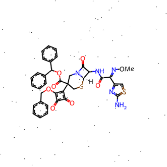 CON=C(C(=O)NC1C(=O)N2CC(C(=O)OC(c3ccccc3)c3ccccc3)(c3c(OCc4ccccc4)c(=O)c3=O)CS[C@H]12)c1csc(N)n1